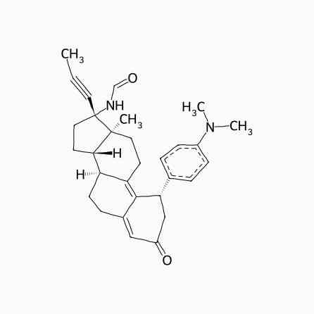 CC#C[C@]1(NC=O)CC[C@H]2[C@@H]3CCC4=CC(=O)C[C@@H](c5ccc(N(C)C)cc5)C4=C3CC[C@@]21C